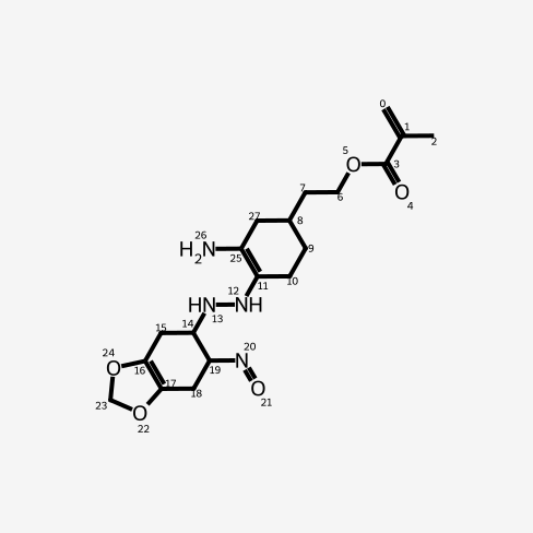 C=C(C)C(=O)OCCC1CCC(NNC2CC3=C(CC2N=O)OCO3)=C(N)C1